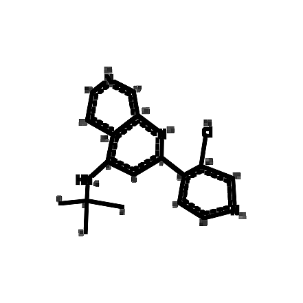 CC(C)(C)Nc1cc(-c2ccncc2Cl)nc2cnccc12